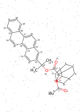 CCC(C)C(=O)OC1C2CC3CC1CC(C2)C3C(=O)OC(C)(C)c1ccc2c(ccc3c4ccccc4ccc23)c1